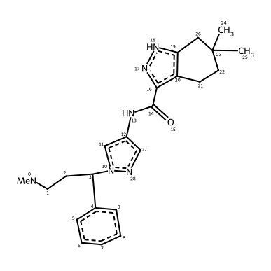 CNCCC(c1ccccc1)n1cc(NC(=O)c2n[nH]c3c2CCC(C)(C)C3)cn1